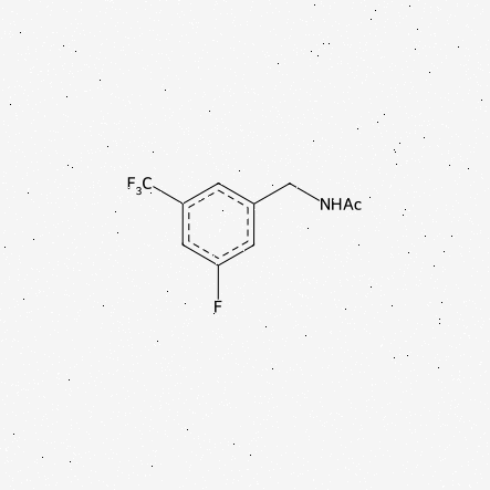 CC(=O)NCc1cc(F)cc(C(F)(F)F)c1